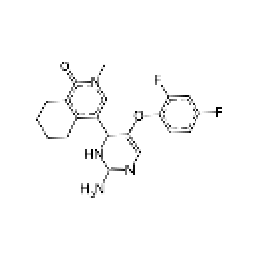 Cn1cc(C2NC(N)=NC=C2Oc2ccc(F)cc2F)c2c(c1=O)CCCC2